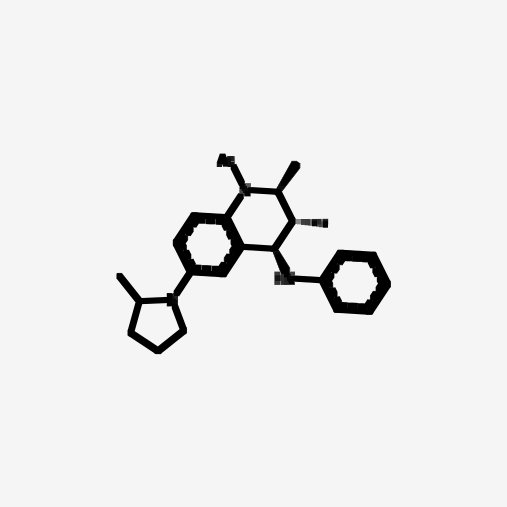 CC(=O)N1c2ccc(N3CCCC3C)cc2[C@H](Nc2ccccc2)[C@@H](C)[C@@H]1C